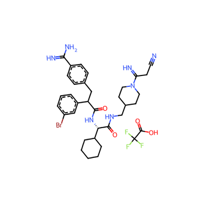 N#CCC(=N)N1CCC(CNC(=O)[C@@H](NC(=O)C(Cc2ccc(C(=N)N)cc2)c2cccc(Br)c2)C2CCCCC2)CC1.O=C(O)C(F)(F)F